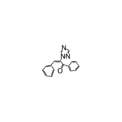 O=C(/C(=C\c1ccccc1)n1cncn1)c1ccccc1